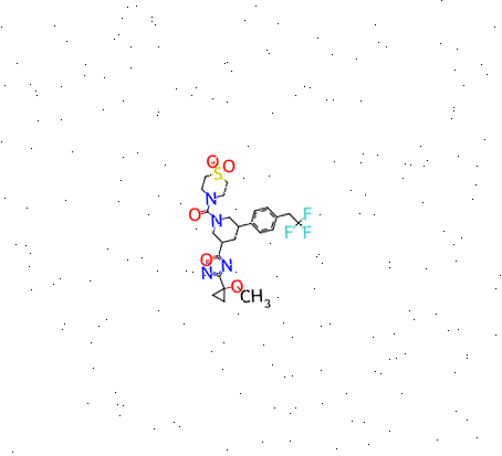 COC1(c2noc(C3CC(c4ccc(CC(F)(F)F)cc4)CN(C(=O)N4CCS(=O)(=O)CC4)C3)n2)CC1